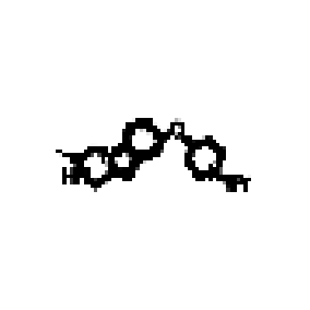 CC(C)N1CCC(Oc2ccc3c(c2)cc2n3C[C@@H](C)NC2)CC1